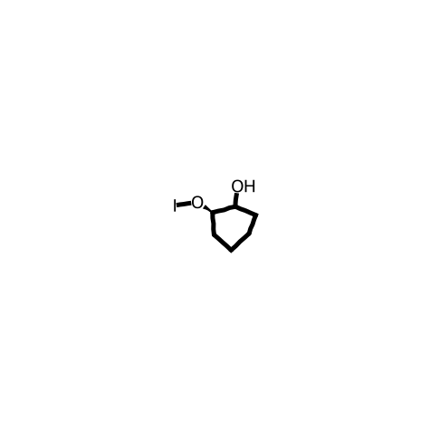 OC1CCCC[C@H]1OI